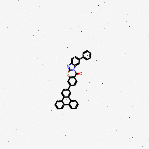 O=c1c2ccc(-c3ccc4c5ccccc5c5ccccc5c4c3)cc2sc2nc3ccc(-c4ccccc4)cc3n12